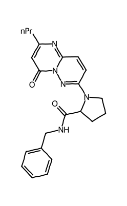 CCCc1cc(=O)n2nc(N3CCCC3C(=O)NCc3ccccc3)ccc2n1